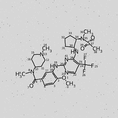 COc1ccc(C(=O)N(C)C2CCN(C)CC2)cc1Nc1ncc(C(F)(F)F)c(N[C@@H]2CCC[C@H]2N(C)S(C)(=O)=O)n1